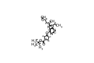 CCn1c(N(C)CCOC)nc2c(O[C@H]3CCN(C(=O)OC(C)(C)C)C3)ncnc21